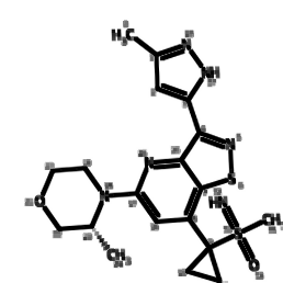 Cc1cc(-c2nsc3c(C4(S(C)(=N)=O)CC4)cc(N4CCOC[C@H]4C)nc23)[nH]n1